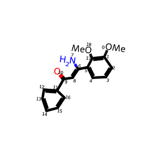 COc1cccc(/C(N)=C/C(=O)c2ccccc2)c1OC